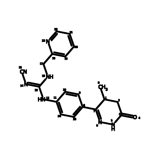 CC1CC(=O)NN=C1c1ccc(NC(=NC#N)NCc2ccccn2)cc1